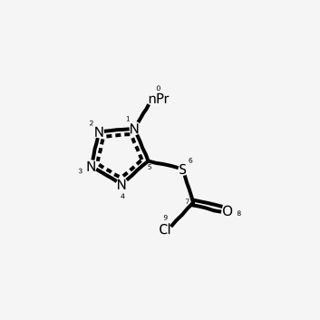 CCCn1nnnc1SC(=O)Cl